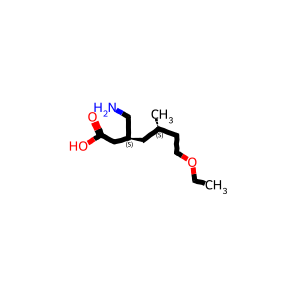 CCOCC[C@@H](C)C[C@H](CN)CC(=O)O